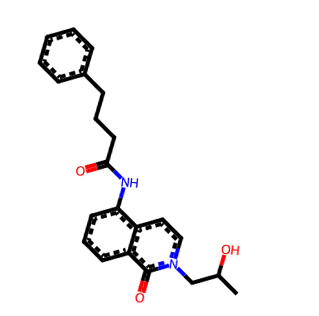 CC(O)Cn1ccc2c(NC(=O)CCCc3ccccc3)cccc2c1=O